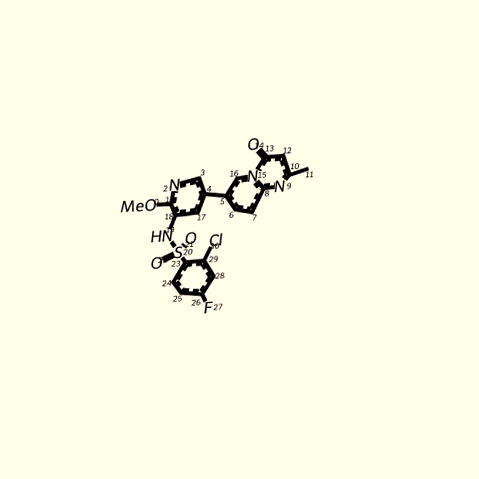 COc1ncc(-c2ccc3nc(C)cc(=O)n3c2)cc1NS(=O)(=O)c1ccc(F)cc1Cl